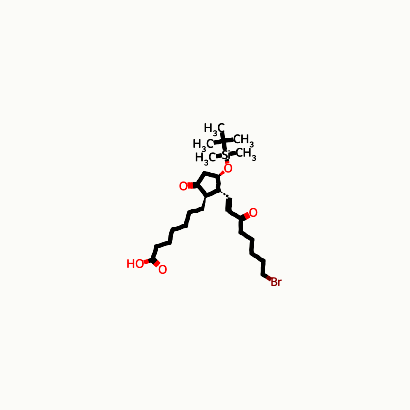 CC(C)(C)[Si](C)(C)O[C@@H]1CC(=O)[C@H](CCCCCCC(=O)O)[C@H]1C=CC(=O)CCCCCBr